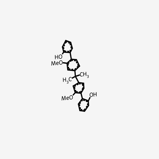 COc1cc(C(C)(C)c2ccc(-c3ccccc3O)c(OC)c2)ccc1-c1ccccc1O